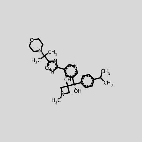 CC(C)c1ccc([C@](O)(c2cncc(-c3noc(C(C)(C)N4CCOCC4)n3)c2)C2(C)CN(C)C2)cc1